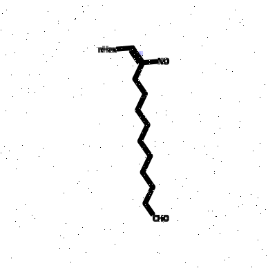 CCCCCC/C=C(\CCCCCCCCCC=O)N=O